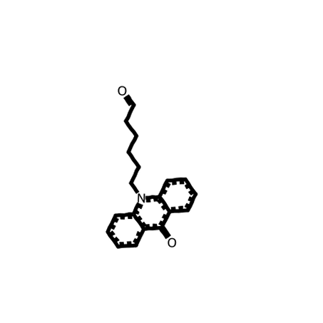 O=CCCCCCn1c2ccccc2c(=O)c2ccccc21